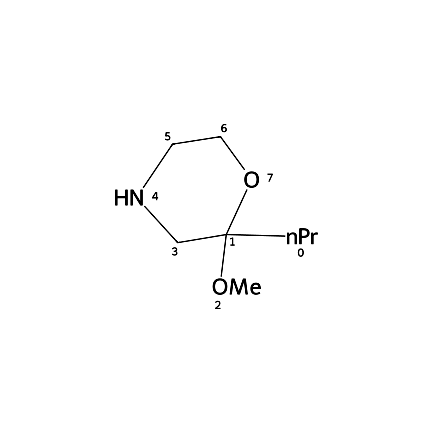 CCCC1(OC)CNCCO1